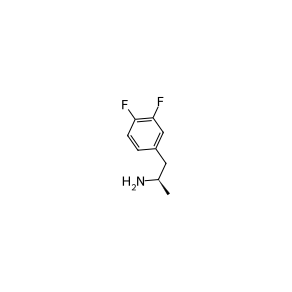 C[C@@H](N)Cc1ccc(F)c(F)c1